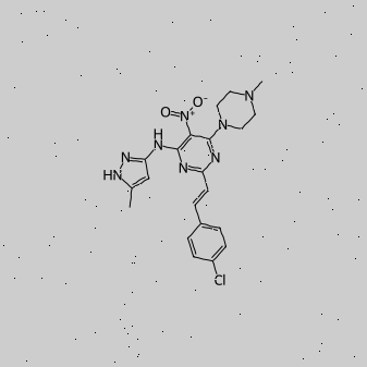 Cc1cc(Nc2nc(/C=C/c3ccc(Cl)cc3)nc(N3CCN(C)CC3)c2[N+](=O)[O-])n[nH]1